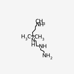 CNCCCC(C)(C)NCCNCCN